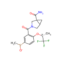 C[C@@H](Oc1ccc([S+](C)[O-])cc1C(=O)N1CC2CC2(C(N)=O)C1)C(F)(F)F